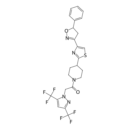 O=C(Cn1nc(C(F)(F)F)cc1C(F)(F)F)N1CCC(c2nc(C3=NOC(c4ccccc4)C3)cs2)CC1